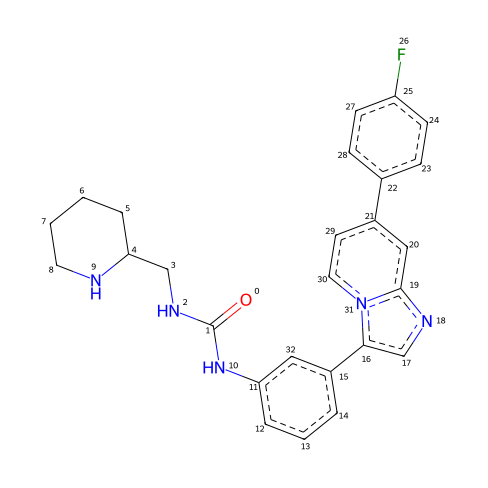 O=C(NCC1CCCCN1)Nc1cccc(-c2cnc3cc(-c4ccc(F)cc4)ccn23)c1